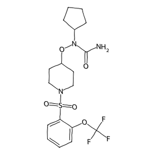 NC(=O)N(OC1CCN(S(=O)(=O)c2ccccc2OC(F)(F)F)CC1)C1CCCC1